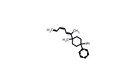 C=C/C=C\C=C(/C)C1(C)CCC(CCC)(c2ccccc2)CC1